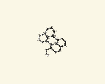 BrCc1ccc2cccc3c4cccc5cccc(c1c23)c54